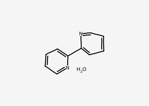 O.c1ccc(-c2ccccn2)nc1